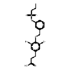 CCCS(=O)(=O)Nc1cccc(COc2c(Br)cc(CCC(=O)O)cc2Br)c1